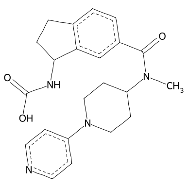 CN(C(=O)c1ccc2c(c1)C(NC(=O)O)CC2)C1CCN(c2ccncc2)CC1